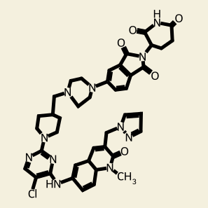 CN1C(=O)C(Cn2cccn2)=CC2C=C(Nc3nc(N4CCC(CN5CCN(c6ccc7c(c6)C(=O)N(C6CCC(=O)NC6=O)C7=O)CC5)CC4)ncc3Cl)C=CC21